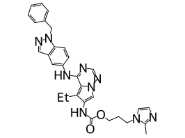 CCc1c(NC(=O)OCCCn2ccnc2C)cn2ncnc(Nc3ccc4c(cnn4Cc4ccccc4)c3)c12